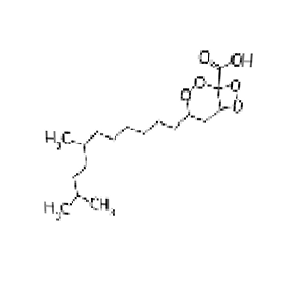 CC(C)CCC(C)CCCCCCC1CC2OOC2(C(=O)O)OO1